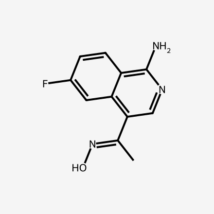 CC(=NO)c1cnc(N)c2ccc(F)cc12